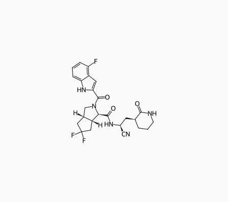 N#C[C@H](C[C@@H]1CCCNC1=O)NC(=O)[C@H]1[C@@H]2CC(F)(F)C[C@@H]2CN1C(=O)c1cc2c(F)cccc2[nH]1